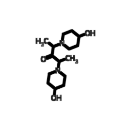 CC(C(=O)C(C)N1CCC(O)CC1)N1CCC(O)CC1